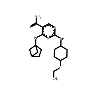 CCOC1CCC(Nc2ncc(C(N)=O)c(NC34CCC(C3)C4)n2)CC1